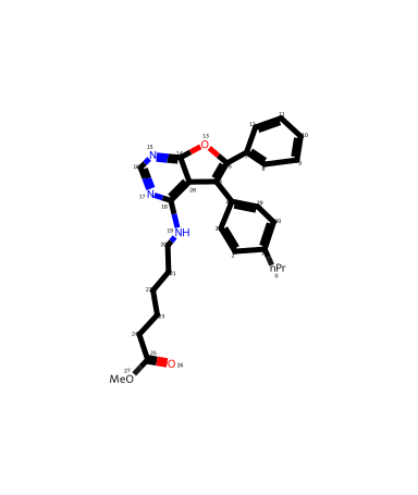 CCCc1ccc(-c2c(-c3ccccc3)oc3ncnc(NCCCCCC(=O)OC)c23)cc1